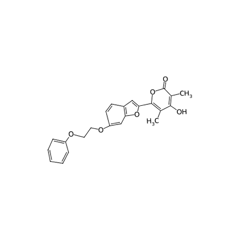 Cc1c(-c2cc3ccc(OCCOc4ccccc4)cc3o2)oc(=O)c(C)c1O